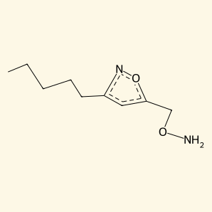 CCCCCc1cc(CON)on1